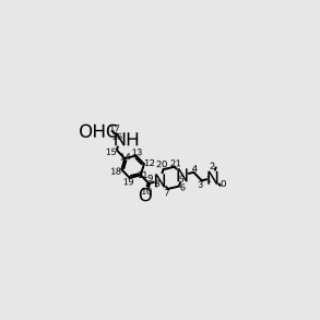 CN(C)CCN1CCN(C(=O)c2ccc(CNC=O)cc2)CC1